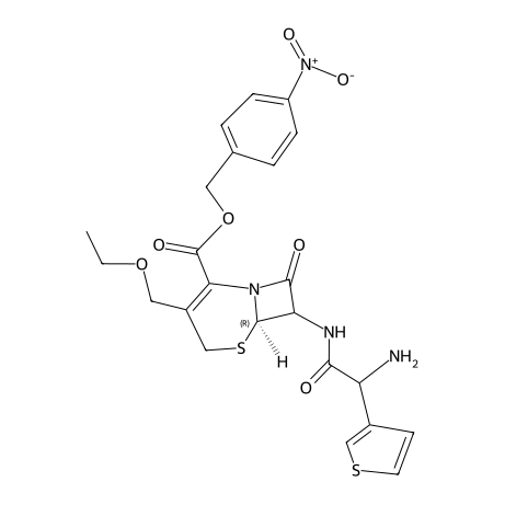 CCOCC1=C(C(=O)OCc2ccc([N+](=O)[O-])cc2)N2C(=O)C(NC(=O)C(N)c3ccsc3)[C@H]2SC1